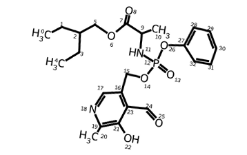 CCC(CC)COC(=O)C(C)NP(=O)(OCc1cnc(C)c(O)c1C=O)Oc1ccccc1